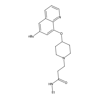 CCCCc1cc(OC2CCN(CCC(=O)NCC)CC2)c2ncccc2c1